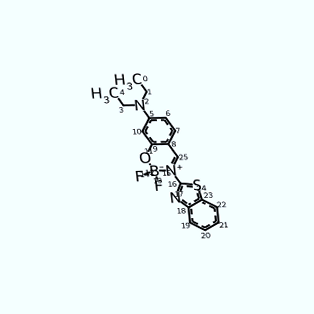 CCN(CC)c1ccc2c(c1)O[B-](F)(F)[N+](c1nc3ccccc3s1)=C2